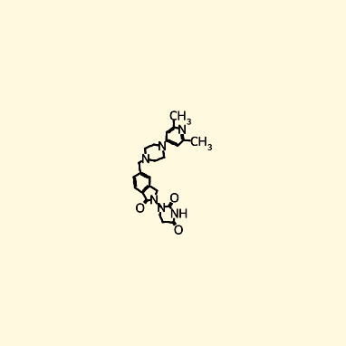 Cc1cc(N2CCN(Cc3ccc4c(c3)CN(N3CCC(=O)NC3=O)C4=O)CC2)cc(C)n1